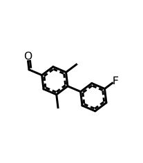 Cc1cc(C=O)cc(C)c1-c1cccc(F)c1